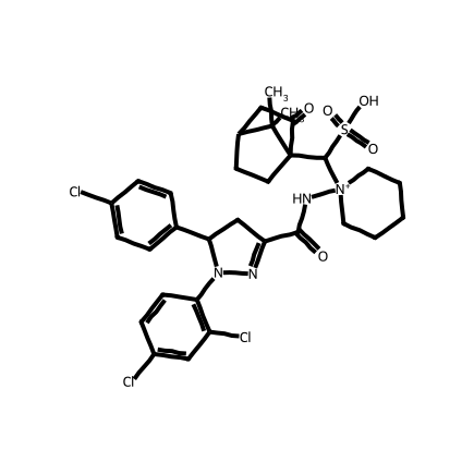 CC1(C)C2CCC1(C([N+]1(NC(=O)C3=NN(c4ccc(Cl)cc4Cl)C(c4ccc(Cl)cc4)C3)CCCCC1)S(=O)(=O)O)C(=O)C2